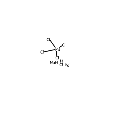 Cl.[Cl][Pd]([Cl])([Cl])[Cl].[NaH].[Pd]